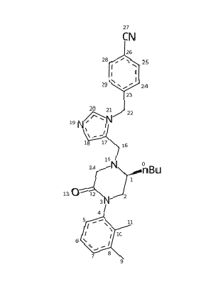 CCCC[C@H]1CN(c2cccc(C)c2C)C(=O)CN1Cc1cncn1Cc1ccc(C#N)cc1